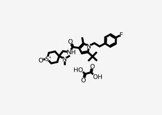 Cc1c(C(=O)NCC2(N(C)C)CC[S+]([O-])CC2)cc(C(C)(C)C)n1CCc1ccc(F)cc1.O=C(O)C(=O)O